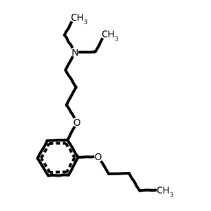 CCCCOc1ccccc1OCCCN(CC)CC